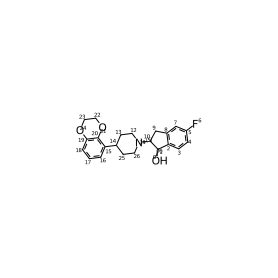 O[C@@H]1c2ccc(F)cc2C[C@@H]1N1CCC(c2cccc3c2OCCO3)CC1